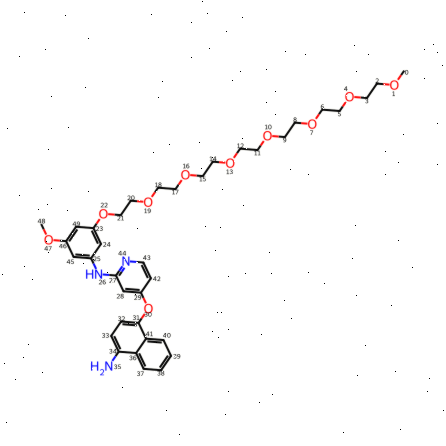 COCCOCCOCCOCCOCCOCCOCCOc1cc(Nc2cc(Oc3ccc(N)c4ccccc34)ccn2)cc(OC)c1